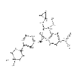 O=C(Nc1nccc(N2CCC(F)(F)CC2)n1)c1ccc([N+](=O)[O-])cc1N1CCC2(CC1)CC2